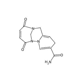 NC(=O)C1=CN2C(=CC1)CN1CN2C(=O)C=CC1=O